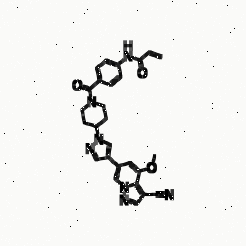 C=CC(=O)Nc1ccc(C(=O)N2CCC(n3cc(-c4cc(OC)c5c(C#N)cnn5c4)cn3)CC2)cc1